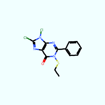 CCSn1c(-c2ccccc2)nc2c(nc(Cl)n2Cl)c1=O